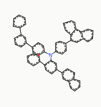 c1ccc(-c2cccc(-c3ccc(N(c4ccc(-c5cc6ccccc6c6ccccc56)cc4)c4cc(-c5ccc6ccccc6c5)ccc4-c4ccccc4)cc3)c2)cc1